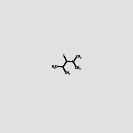 CC(C)C(I)N(C)C